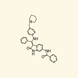 O=C1Nc2cc(NC(=O)c3ccccc3)ccc2C1=C(Nc1ccc(CN2CCCCC2)cc1)c1ccccc1